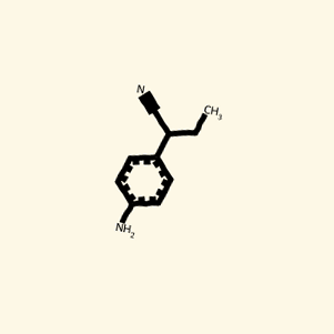 CCC(C#N)c1ccc(N)cc1